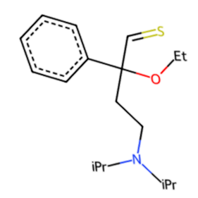 CCOC(C=S)(CCN(C(C)C)C(C)C)c1ccccc1